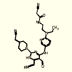 CCN(CCNC(=O)CC#N)c1ccc(NC2=NC(N3CCC(CC#N)CC3)NC(C=N)=C2C=O)cn1